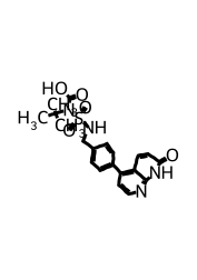 CC(C)(C)N(C(=O)O)S(=O)(=O)NCc1ccc(-c2ccnc3[nH]c(=O)ccc23)cc1